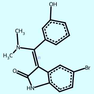 CN(C)/C(=C1\C(=O)Nc2ccc(Br)cc21)c1cccc(O)c1